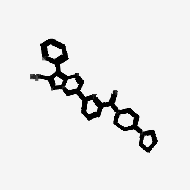 Nc1nn2cc(-c3cccc(C(=O)N4CCC(N5CCCC5)CC4)n3)cnc2c1-c1ccccn1